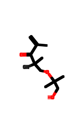 C=C(C)C(=O)C(C)(COC(C)(C)CO)N=O